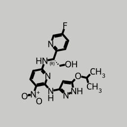 CC(C)Oc1cc(Nc2nc(N[C@@H](CO)c3ccc(F)cn3)ccc2[N+](=O)[O-])n[nH]1